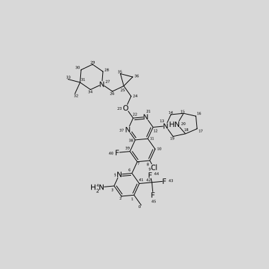 Cc1cc(N)nc(-c2c(Cl)cc3c(N4CC5CCC(C4)N5)nc(OCC4(CN5CCCC(C)(C)C5)CC4)nc3c2F)c1C(F)(F)F